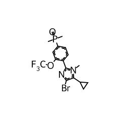 Cn1c(-c2ccc(P(C)(C)=O)cc2OC(F)(F)F)nc(Br)c1C1CC1